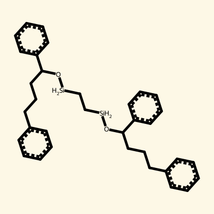 c1ccc(CCCC(O[SiH2]CC[SiH2]OC(CCCc2ccccc2)c2ccccc2)c2ccccc2)cc1